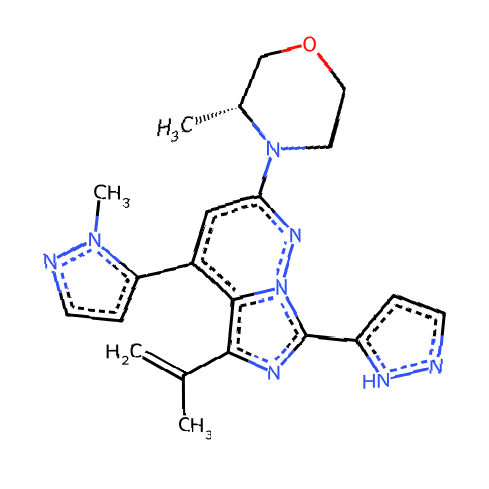 C=C(C)c1nc(-c2ccn[nH]2)n2nc(N3CCOC[C@H]3C)cc(-c3ccnn3C)c12